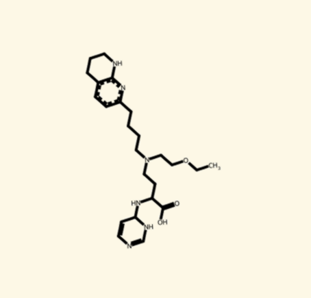 CCOCCN(CCCCc1ccc2c(n1)NCCC2)CCC(NC1C=CN=CN1)C(=O)O